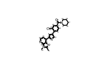 Cc1nc2c(-c3cc(-c4ccc(C(=O)N5CCCCC5)cc4Cl)cs3)ccnc2n1C